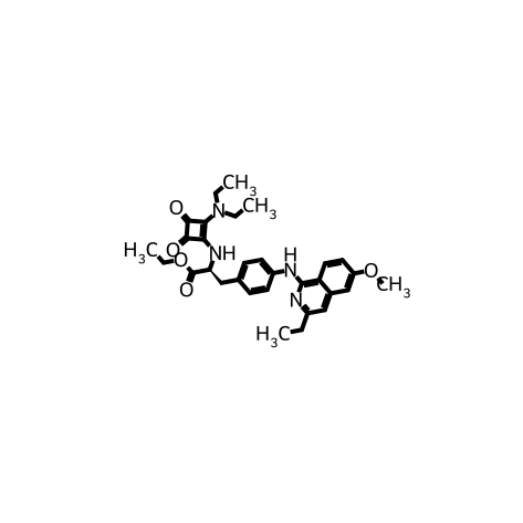 CCOC(=O)[C@H](Cc1ccc(Nc2nc(CC)cc3cc(OC)ccc23)cc1)Nc1c(N(CC)CC)c(=O)c1=O